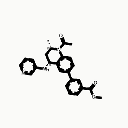 COC(=O)c1cccc(-c2ccc3c(c2)[C@H](Nc2cccnc2)C[C@H](C)N3C(C)=O)c1